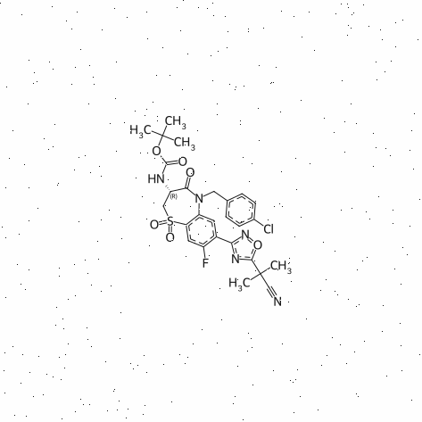 CC(C)(C)OC(=O)N[C@H]1CS(=O)(=O)c2cc(F)c(-c3noc(C(C)(C)C#N)n3)cc2N(Cc2ccc(Cl)cc2)C1=O